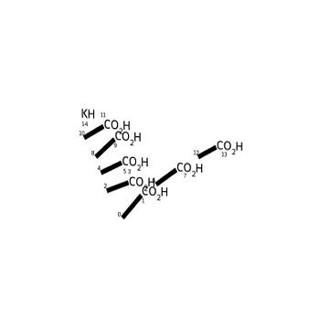 CC(=O)O.CC(=O)O.CC(=O)O.CC(=O)O.CC(=O)O.CC(=O)O.CC(=O)O.[KH]